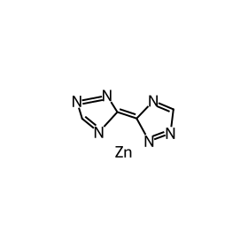 C1=NC(=C2N=CN=N2)N=N1.[Zn]